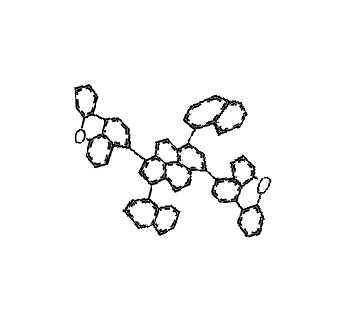 c1ccc2c(c1)Oc1cccc3c(-c4cc(-c5cccc6ccccc56)c5ccc6c(-c7ccc8c9c(cccc79)Oc7ccccc7-8)cc(-c7cccc8ccccc78)c7ccc4c5c76)ccc-2c13